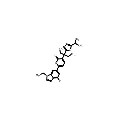 CCn1ncc2c(F)cc(-c3ccc(C(CC)(CC)c4nnc(C(C)C)o4)c(=O)[nH]3)cc21